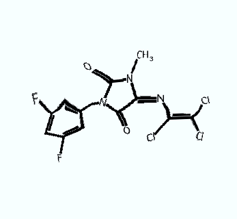 CN1C(=O)N(c2cc(F)cc(F)c2)C(=O)/C1=N\C(Cl)=C(Cl)Cl